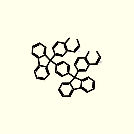 C/C=C\c1cc(C2(c3ccc(C4(c5ccc(C)c(/C=C\C)c5)c5ccccc5-c5ccccc54)cc3)c3ccccc3-c3ccccc32)ccc1C